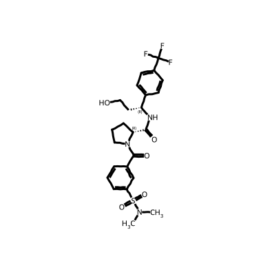 CN(C)S(=O)(=O)c1cccc(C(=O)N2CCC[C@@H]2C(=O)N[C@H](CCO)c2ccc(C(F)(F)F)cc2)c1